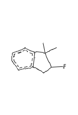 CC1(C)c2ccccc2CC1F